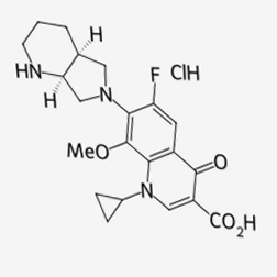 COc1c(N2C[C@@H]3CCCN[C@@H]3C2)c(F)cc2c(=O)c(C(=O)O)cn(C3CC3)c12.Cl